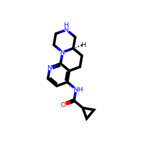 O=C(Nc1ccnc2c1CC[C@@H]1CNCCN21)C1CC1